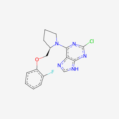 Fc1ccccc1OC[C@H]1CCCN1c1nc(Cl)nc2[nH]cnc12